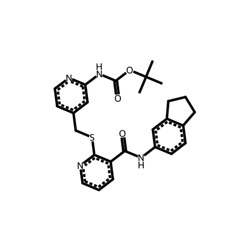 CC(C)(C)OC(=O)Nc1cc(CSc2ncccc2C(=O)Nc2ccc3c(c2)CCC3)ccn1